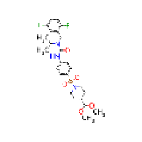 COC(OC)C1CCN(S(=O)(=O)c2ccc(NC(=O)N(Cc3cc(F)ccc3F)C(C)C)cc2)CC1